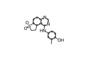 Cc1cc(Nc2ncnc3ccc4c(c23)CCS4(=O)=O)ccc1O